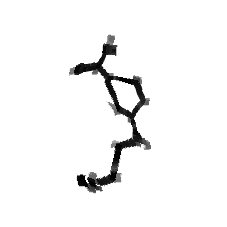 CCC[P]C1CCC(C(=O)O)C1